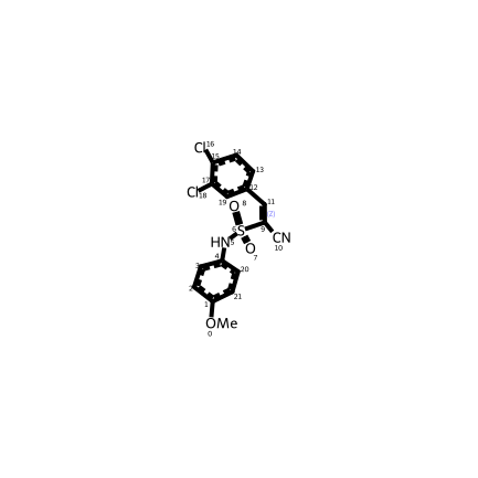 COc1ccc(NS(=O)(=O)/C(C#N)=C\c2ccc(Cl)c(Cl)c2)cc1